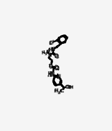 CC(O)c1ccc(NC(=O)OCCN(C)C(=O)NCc2ccccc2Cl)nc1